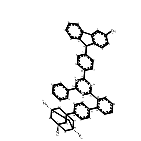 N#Cc1ccc2c(c1)-c1ccccc1C2c1ccc(-c2nc(-c3ccccc3)nc(-c3ccccc3-c3ccc(C45C[C@H]6C[C@@H](C4)C[C@@H](C5)C6)cc3)n2)cc1